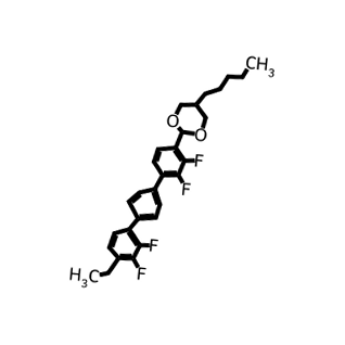 CCCCCC1COC(c2ccc(-c3ccc(-c4ccc(CC)c(F)c4F)cc3)c(F)c2F)OC1